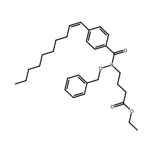 CCCCCCCC/C=C\c1ccc(C(=O)N(CCCC(=O)OCC)OCc2ccccc2)cc1